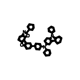 c1ccc(-c2nc3ccc4oc5ccc(-c6ccc(N(c7ccccc7)c7ccc8c(c7)c7ccccc7n8-c7ccccc7)cc6)cc5c4c3o2)cc1